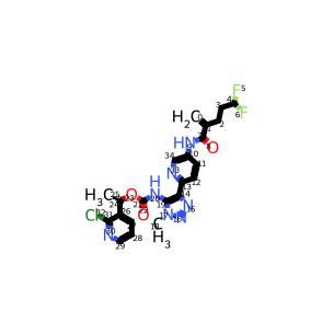 C=C(CCC(F)F)C(=O)Nc1ccc(-c2nnn(C)c2NC(=O)O[C@H](C)c2cccnc2Cl)nc1